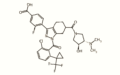 CN(C)[C@H]1CN(C(=O)C2CCc3c(-c4ccc(C(=O)O)cc4F)nn(C(=O)c4c(Cl)cccc4C4(C(F)(F)F)CC4)c3C2)C[C@@H]1O